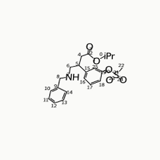 CC(C)OC(=O)CC(CNCc1ccccc1)c1cccc(OS(C)(=O)=O)c1